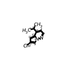 CC(C)c1ccnn2cc(Cl)cc12